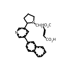 CN1CCCC1c1cncc(-c2ccc3ccccc3c2)c1.O=C(O)C=CC(=O)O